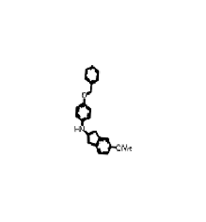 COc1ccc2c(c1)CC(Nc1ccc(OCc3ccccc3)cc1)C2